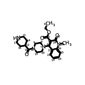 CCOC(=O)c1c(N2CCN(C(=O)C3CCNCC3)CC2)c2ccccc2n(C)c1=O